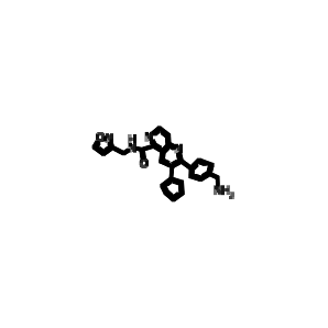 NCc1ccc(-c2nc3ccnc(C(=O)NCc4ccon4)c3cc2-c2ccccc2)cc1